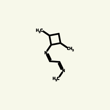 C/N=C\C=N/C1C(C)CC1C